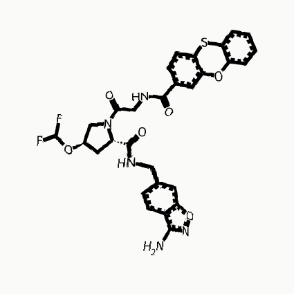 Nc1noc2cc(CNC(=O)[C@@H]3C[C@@H](OC(F)F)CN3C(=O)CNC(=O)c3ccc4c(c3)Oc3ccccc3S4)ccc12